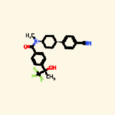 CN(C(=O)c1ccc([C@](C)(O)C(F)(F)F)cc1)[C@H]1CC[C@@H](c2ccc(C#N)cc2)CC1